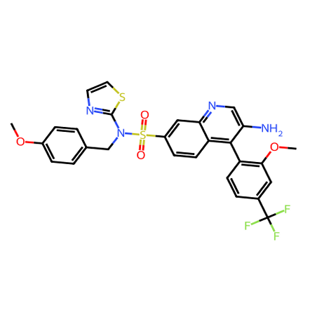 COc1ccc(CN(c2nccs2)S(=O)(=O)c2ccc3c(-c4ccc(C(F)(F)F)cc4OC)c(N)cnc3c2)cc1